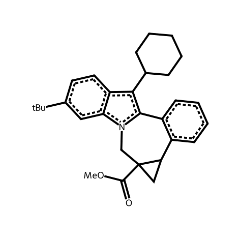 COC(=O)C12CC1c1ccccc1-c1c(C3CCCCC3)c3ccc(C(C)(C)C)cc3n1C2